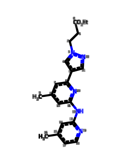 CCOC(=O)CCn1cc(-c2cc(C)cc(Nc3cc(C)ccn3)n2)cn1